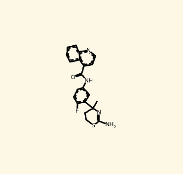 CC1(c2cc(NC(=O)c3ccnc4ccccc34)ccc2F)CCSC(N)=N1